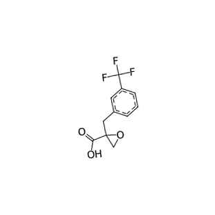 O=C(O)C1(Cc2cccc(C(F)(F)F)c2)CO1